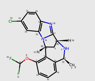 C[C@@H]1N[C@@H]2C[C@H](c3c(OC(F)F)cccc31)n1c2nc2ccc(Cl)cc21